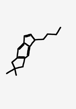 CCCC[C]1C=Cc2cc3c(cc21)CC(C)(C)C3